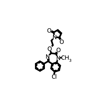 CN1C(=O)C(OCCN2C(=O)C=CC2=O)N=C(c2ccccc2)c2cc(Cl)ccc21